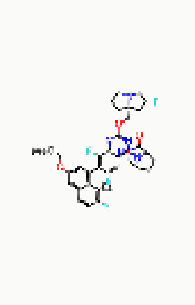 CCc1c(F)ccc2cc(OCOC)cc(-c3c(F)cc4c(N5C6CCC5C(=O)NC6)nc(OC[C@@]56CCCN5C[C@H](F)C6)nc4c3F)c12